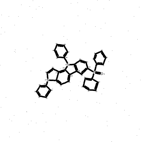 O=P(c1ccccc1)(c1ccccc1)c1ccc2c(c1)c1ccc3c(ccn3-c3ccccc3)c1n2-c1ccccc1